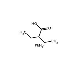 CCC(CC)C(=O)O.[PbH2]